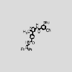 Cc1ncc(NC(=O)c2cc(C#N)cc(C(C)(C)C)c2)cc1-c1ccc(C(=O)NCCN(C(C)C)C(C)C)cc1